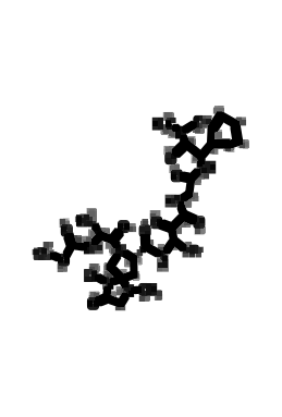 CCCC(NC(=O)[C@@H]1CC2(CN1C(=O)[C@@H](NC(=O)OC(C)(C)C)C(C)(C)C)N(C)CC(=O)N2CC)C(=O)C(=O)NCC(=O)NC(C(=O)N(C)C)c1ccccc1